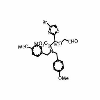 CCOC(=O)[C@H]([C@H](OCC=O)c1nc(Br)cs1)N(Cc1ccc(OC)cc1)Cc1ccc(OC)cc1